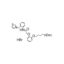 Br.CCCCCCCCCCCCCCOc1ccccc1OCC(=O)Nc1ccccc1CN1C=CSC1